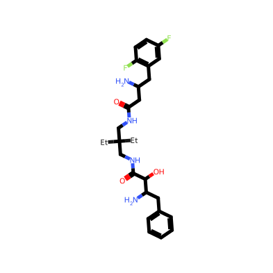 CCC(CC)(CNC(=O)CC(N)Cc1cc(F)ccc1F)CNC(=O)C(O)C(N)Cc1ccccc1